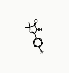 CC1(C)N=C(c2ccc(Br)cc2)NC1=O